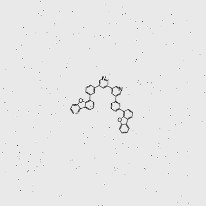 c1cc(-c2cncc(-c3cncc(-c4cccc(-c5cccc6c5oc5ccccc56)c4)c3)c2)cc(-c2cccc3c2oc2ccccc23)c1